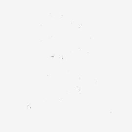 NCc1ccc(C(C(=O)c2nc3ccccc3s2)N(C(=O)C(F)(F)F)c2cccc3ccccc23)cc1